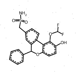 NS(=O)(=O)Cc1ccc2c(c1)C(c1ccccc1)Oc1ccc(O)c(OC(F)F)c1-2